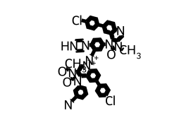 CC(=O)n1c(=O)n(-c2cccc(C#N)c2)c2c3cc(-c4ccc(Cl)cc4)ccc3[n+]([N+]#Cc3cc(-n4c(=O)n(C)c5cnc6ccc(-c7ccc(Cl)cc7)cc6c54)ccc3N3CCNCC3)cc21